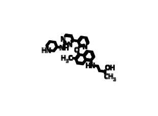 Cc1ccc2c(NCCC(C)O)cccc2c1Oc1ncccc1-c1ccnc(NC2CCCNC2)n1